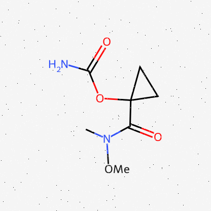 CON(C)C(=O)C1(OC(N)=O)CC1